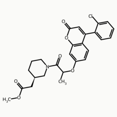 COC(=O)C[C@H]1CCCN(C(=O)C(C)Oc2ccc3c(-c4ccccc4Cl)cc(=O)oc3c2)C1